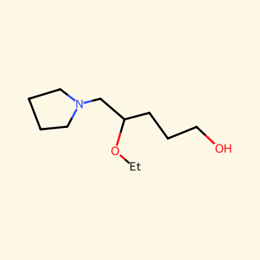 CCOC(CCCO)CN1CCCC1